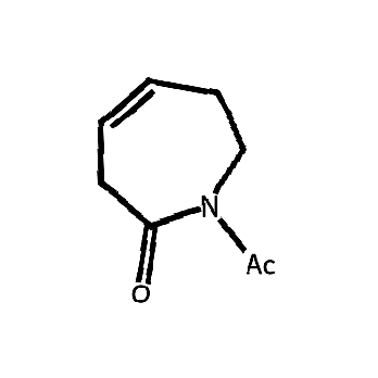 CC(=O)N1CCC=CCC1=O